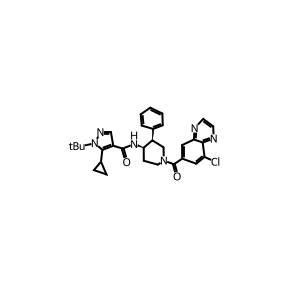 CC(C)(C)n1ncc(C(=O)N[C@@H]2CCN(C(=O)c3cc(Cl)c4nccnc4c3)C[C@@H]2c2ccccc2)c1C1CC1